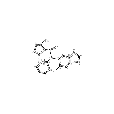 Cn1ncc(C(=O)O)c1C(=O)N(c1ccccc1)c1cc2ncnn2cc1F